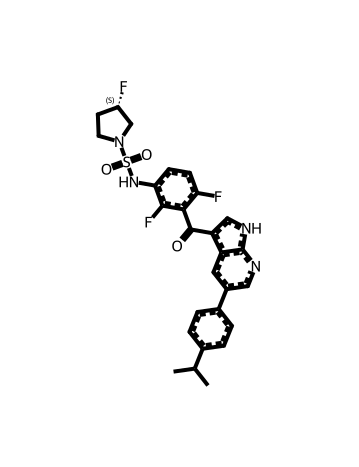 CC(C)c1ccc(-c2cnc3[nH]cc(C(=O)c4c(F)ccc(NS(=O)(=O)N5CC[C@H](F)C5)c4F)c3c2)cc1